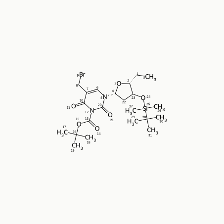 CC[C@H]1O[C@@H](n2cc(CBr)c(=O)n(C(=O)OC(C)(C)C)c2=O)CC1O[Si](C)(C)C(C)(C)C